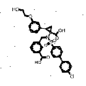 O=C(O)c1cccc(CN([C@]2(C(=O)O)C[C@@H]2c2cccc(OCCO)c2)S(=O)(=O)c2ccc(-c3ccc(Cl)cc3)cc2)c1